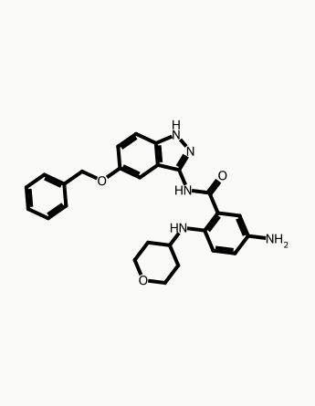 Nc1ccc(NC2CCOCC2)c(C(=O)Nc2n[nH]c3ccc(OCc4ccccc4)cc23)c1